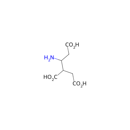 NC(CC(=O)O)C(CC(=O)O)C(=O)O